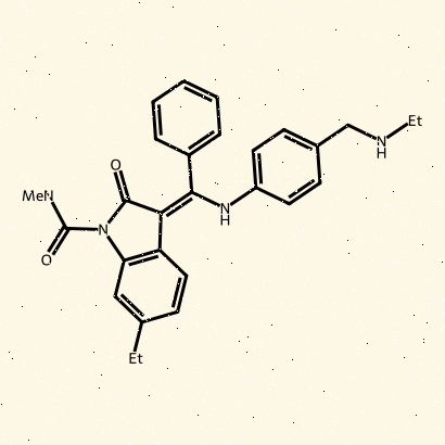 CCNCc1ccc(NC(=C2C(=O)N(C(=O)NC)c3cc(CC)ccc32)c2ccccc2)cc1